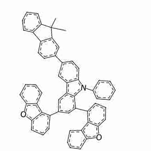 CC1(C)c2ccccc2-c2ccc(-c3ccc4c(c3)c3cc(-c5cccc6oc7ccccc7c56)cc(-c5cccc6oc7ccccc7c56)c3n4-c3ccccc3)cc21